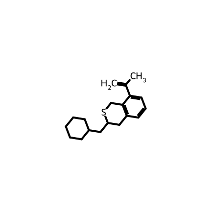 C=C(C)c1cccc2c1CSC(CC1CCCCC1)C2